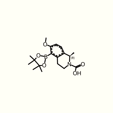 COc1ccc2c(c1B1OC(C)(C)C(C)(C)O1)CCN(C(=O)O)[C@@H]2C